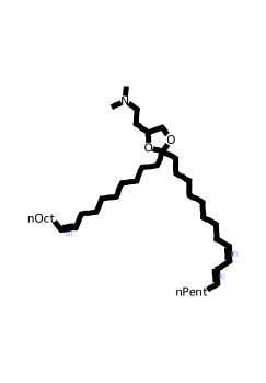 CCCCC/C=C/C=C\CCCCCCCCC1(CCCCCCCC/C=C\CCCCCCCC)OCC(CCN(C)C)O1